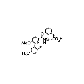 COc1ccc(C(=O)N[C@@H](CC(=O)O)c2ccccc2F)nc1-c1cc(C)ccc1F